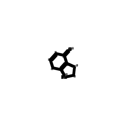 O=C1C=CCC2=C1SCN2